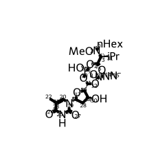 CCCCCCN(OC)[C@H](C(=O)OP(=O)(O)OC(ON=[N+]=[N-])[C@H]1O[C@@H](n2cc(C)c(=O)[nH]c2=O)C[C@@H]1O)C(C)C